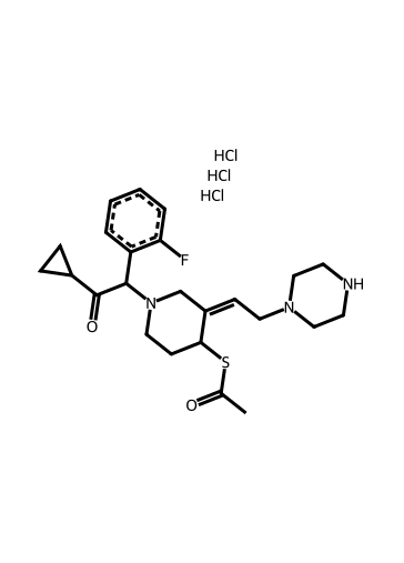 CC(=O)SC1CCN(C(C(=O)C2CC2)c2ccccc2F)CC1=CCN1CCNCC1.Cl.Cl.Cl